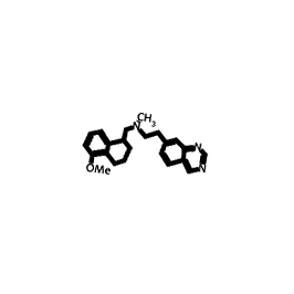 COc1cccc2c1CCCC2CN(C)CCc1ccc2cncnc2c1